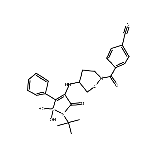 CC(C)(C)N1C(=O)C(NC2CCN(C(=O)c3ccc(C#N)cc3)CC2)=C(c2ccccc2)S1(O)O